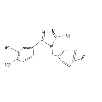 CC(C)c1cc(-c2nnc(S)n2Cc2ccc(F)cc2)ccc1O